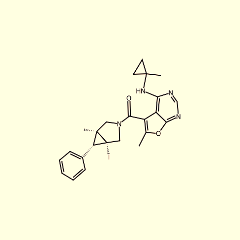 Cc1oc2ncnc(NC3(C)CC3)c2c1C(=O)N1C[C@@]2(I)[C@H](c3ccccc3)[C@@]2(C)C1